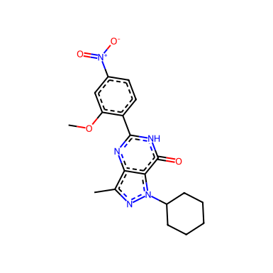 COc1cc([N+](=O)[O-])ccc1-c1nc2c(C)nn(C3CCCCC3)c2c(=O)[nH]1